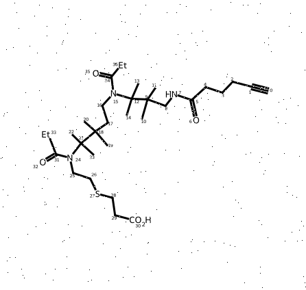 C#CCCCC(=O)NCC(C)(C)C(C)(C)N(CCC(C)(C)C(C)(C)N(CCSCCC(=O)O)C(=O)CC)C(=O)CC